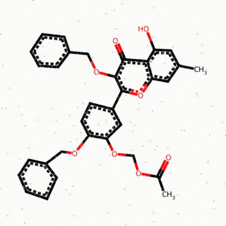 CC(=O)OCOc1cc(-c2oc3cc(C)cc(O)c3c(=O)c2OCc2ccccc2)ccc1OCc1ccccc1